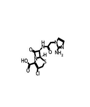 Nc1nccn1CC(=O)N[C@@H]1C(=O)N2C(C(=O)O)=C(Cl)CS[C@H]12